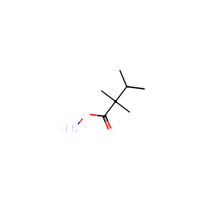 CC(C)C(C)(C)C(=O)ON